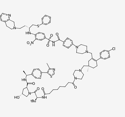 Cc1ncsc1-c1ccc([C@H](C)NC(=O)[C@@H]2C[C@@H](O)CN2C(=O)[C@@H](NC(=O)CCCCCCC(=O)N2CCN(C[C@]3(C)CCC(c4ccc(Cl)cc4)=C(CN4CCN(c5ccc(C(=O)NS(=O)(=O)c6ccc(N[C@H](CCN7CCc8cccnc8C7)CSc7ccccc7)c([N+](=O)[O-])c6)cc5)CC4)C3)CC2)C(C)(C)C)cc1